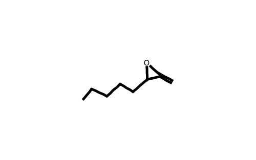 C=C1O[C]1CCCCC